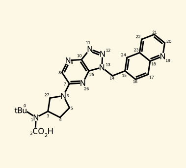 CC(C)(C)N(C(=O)O)C1CCN(c2cnc3nnn(Cc4ccc5ncccc5c4)c3n2)C1